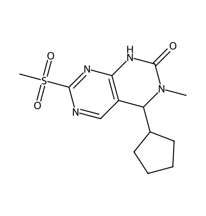 CN1C(=O)Nc2nc(S(C)(=O)=O)ncc2C1C1CCCC1